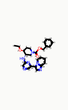 CCO[C@H]1CCN(C(=O)OCc2ccccc2)C[C@@H]1Nc1cncc(-c2cnc3ccccn23)n1